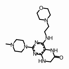 CN1CCN(c2nc(NCCN3CCOCC3)c3c(n2)NCC(=O)N3)CC1